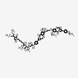 CCC(CC)C1CC(=O)N(CCCCCC(=O)NC(C(=O)NCC(=O)Nc2ccc(C3=CN4C(=O)c5cc(OC)c(OCCCOc6cc7c(cc6OC)C(=O)N6C=C(c8ccc(OC)cc8)C[C@H]6C=N7)cc5N=CC4C3)cc2)C(C)C)C1=O